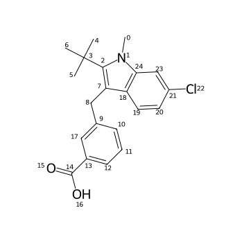 Cn1c(C(C)(C)C)c(Cc2cccc(C(=O)O)c2)c2ccc(Cl)cc21